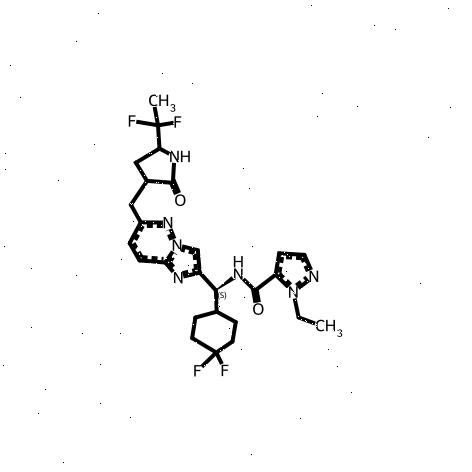 CCn1nccc1C(=O)N[C@H](c1cn2nc(CC3CC(C(C)(F)F)NC3=O)ccc2n1)C1CCC(F)(F)CC1